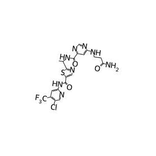 CC(NC(=O)c1cc(NCCC(N)=O)ncn1)c1ncc(C(=O)Nc2cc(C(F)(F)F)c(Cl)cn2)s1